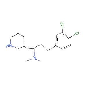 CN(C)C(CCc1ccc(Cl)c(Cl)c1)C1CCCNC1